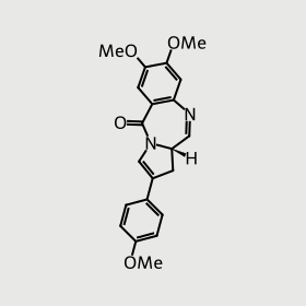 COc1ccc(C2=CN3C(=O)c4cc(OC)c(OC)cc4N=C[C@@H]3C2)cc1